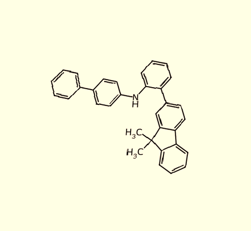 CC1(C)c2ccccc2-c2ccc(-c3ccccc3Nc3ccc(-c4ccccc4)cc3)cc21